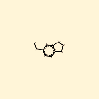 CC[n+]1ccc2c(c1)OCC2